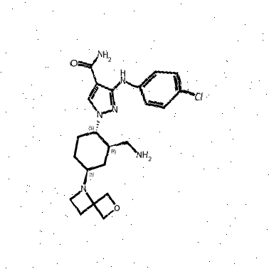 NC[C@H]1C[C@@H](N2CCC23COC3)CC[C@@H]1n1cc(C(N)=O)c(Nc2ccc(Cl)cc2)n1